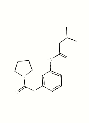 CC(C)CC(=O)Nc1cccc(NC(=N)N2CCCC2)c1